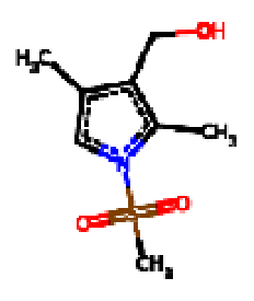 Cc1cn(S(C)(=O)=O)c(C)c1CO